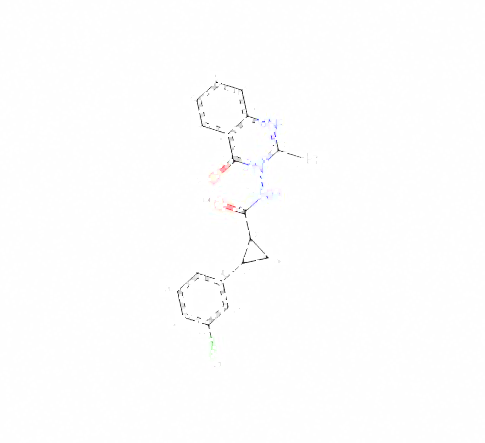 CC(C)c1nc2ccccc2c(=O)n1NC(=O)C1CC1c1cccc(F)c1